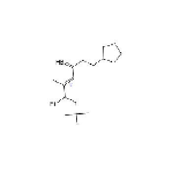 B=C(/C=C(\C)C(CC)CC(C)(C)F)CCC1CCCC1